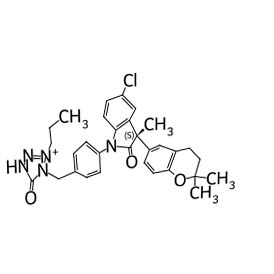 CCC[n+]1n[nH]c(=O)n1Cc1ccc(N2C(=O)[C@@](C)(c3ccc4c(c3)CCC(C)(C)O4)c3cc(Cl)ccc32)cc1